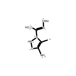 CON=C(C(=O)O)N1NOC(N)=C1I